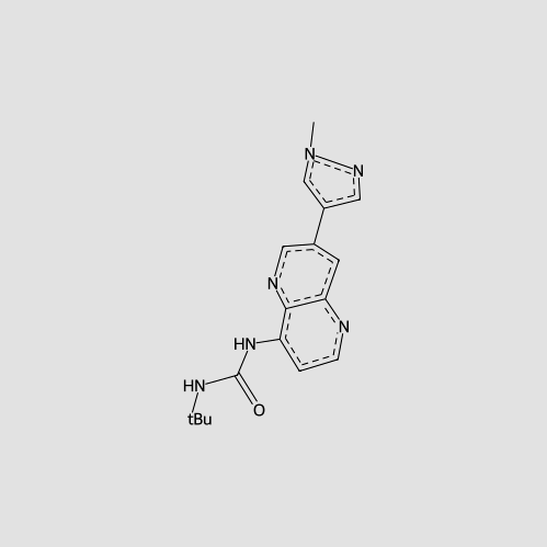 Cn1cc(-c2cnc3c(NC(=O)NC(C)(C)C)ccnc3c2)cn1